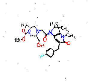 C[C@@H]1CN(CC(=O)N2CC(C)(C)c3c2cc(Cc2ccc(F)cc2)c(=O)n3C)[C@@H](CO)CN1C(=O)OC(C)(C)C